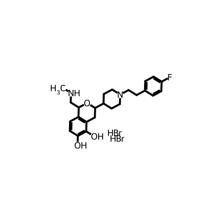 Br.Br.CNCC1OC(C2CCN(CCc3ccc(F)cc3)CC2)Cc2c1ccc(O)c2O